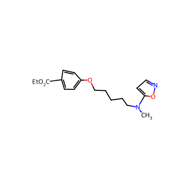 CCOC(=O)c1ccc(OCCCCCN(C)c2ccno2)cc1